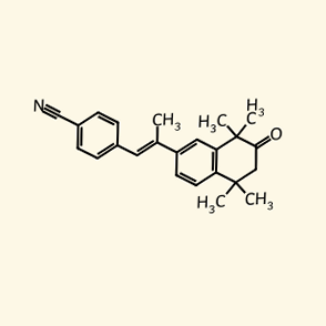 CC(=Cc1ccc(C#N)cc1)c1ccc2c(c1)C(C)(C)C(=O)CC2(C)C